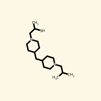 CC(C)CN1CCC(CC2CCN(CC(C)S)CC2)CC1